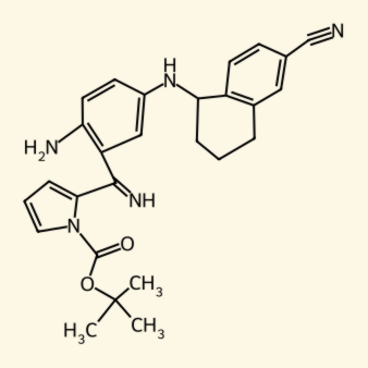 CC(C)(C)OC(=O)n1cccc1C(=N)c1cc(NC2CCCc3cc(C#N)ccc32)ccc1N